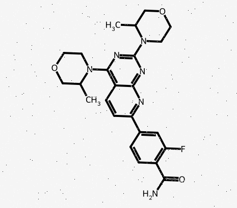 CC1COCCN1c1nc(N2CCOCC2C)c2ccc(-c3ccc(C(N)=O)c(F)c3)nc2n1